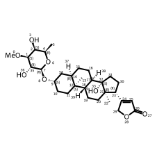 CO[C@H]1[C@@H](O)[C@@H](C)O[C@@H](O[C@H]2CC[C@@]3(C)[C@H](CC[C@@H]4[C@@H]3CC[C@]3(C)[C@@H](C5=CC(=O)OC5)CC[C@]43O)C2)[C@@H]1O